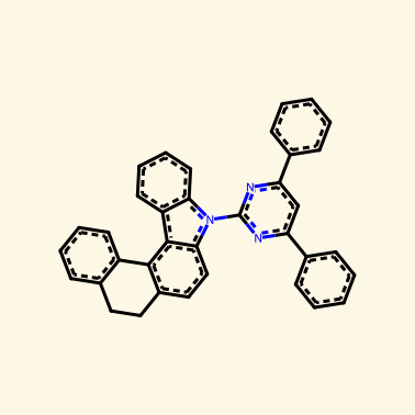 c1ccc(-c2cc(-c3ccccc3)nc(-n3c4ccccc4c4c5c(ccc43)CCc3ccccc3-5)n2)cc1